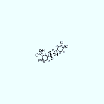 O=C(O)c1cc(S(=O)(=O)NCc2ccc(Cl)c(Cl)c2)ccc1F